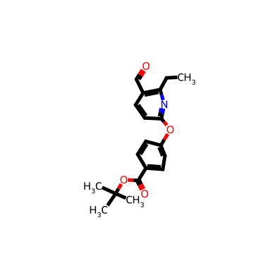 CCc1nc(Oc2ccc(C(=O)OC(C)(C)C)cc2)ccc1C=O